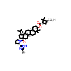 C=C(C)[C@@H]1CC[C@]2(C(=O)N3CCC[C@H]3c3nc(C(C)C)c[nH]3)CC[C@]3(C)[C@H](CCC4[C@@]5(C)CC[C@H](OC(=O)[C@H]6C[C@@H](C(=O)O)C6(C)C)C(C)(C)C5CC[C@]43C)C12